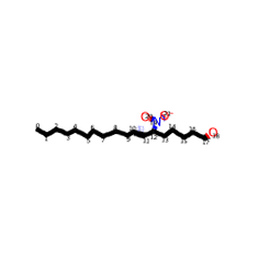 CCCCCCCCCC/C=C/C(CCCC[C]=O)[N+](=O)[O-]